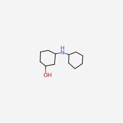 OC1CCCC(NC2CCCCC2)C1